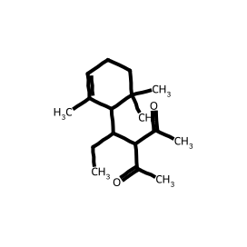 CCC(C(C(C)=O)C(C)=O)C1C(C)=CCCC1(C)C